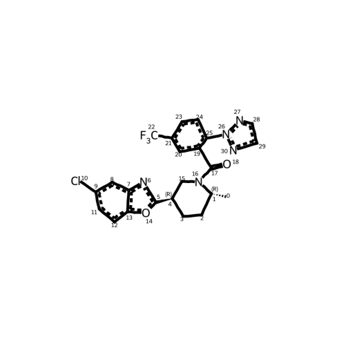 C[C@@H]1CC[C@@H](c2nc3cc(Cl)ccc3o2)CN1C(=O)c1cc(C(F)(F)F)ccc1-n1nccn1